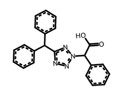 O=C(O)C(c1ccccc1)n1nnc(C(c2ccccc2)c2ccccc2)n1